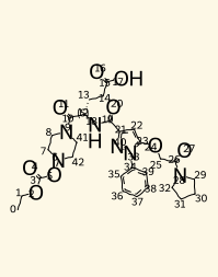 CCOC(=O)ON1CCN(C(=O)[C@H](CCC(=O)O)NC(=O)c2cc(OCC(=O)N3CCCC3)n(-c3ccccc3)n2)CC1